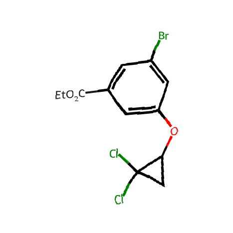 CCOC(=O)c1cc(Br)cc(OC2CC2(Cl)Cl)c1